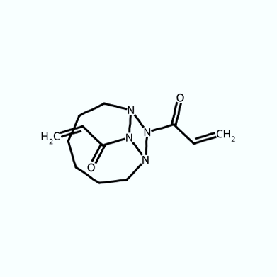 C=CC(=O)N1N2CCCCCCN1N2C(=O)C=C